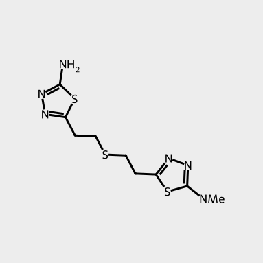 CNc1nnc(CCSCCc2nnc(N)s2)s1